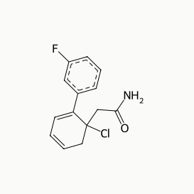 NC(=O)CC1(Cl)CC=CC=C1c1cccc(F)c1